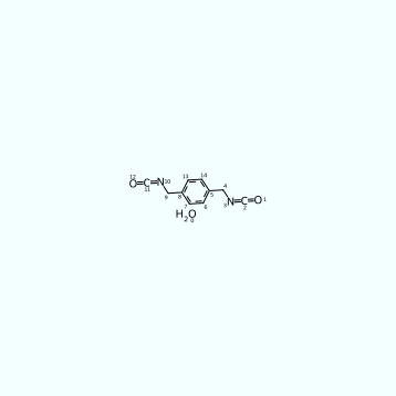 O.O=C=NCc1ccc(CN=C=O)cc1